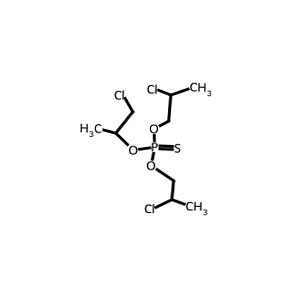 CC(Cl)COP(=S)(OCC(C)Cl)OC(C)CCl